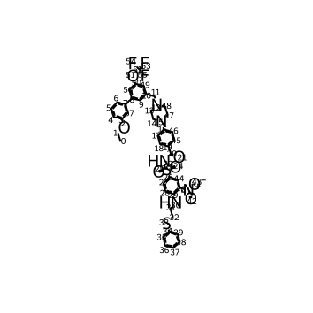 CCOc1cccc(-c2cc(CN3CCN(c4ccc(C(=O)NS(=O)(=O)c5ccc(NCCSc6ccccc6)c([N+](=O)[O-])c5)cc4)CC3)cc(OC(F)(F)F)c2)c1